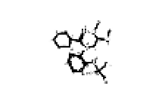 COC(CN(C(=O)C1CCCCC1)c1ccccc1OC(F)(F)F)OC